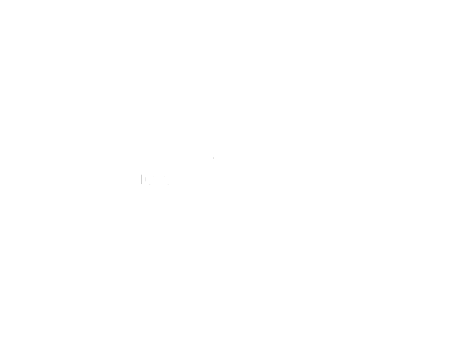 CC1=CC(C)C(C)(C(=O)O)C=C1